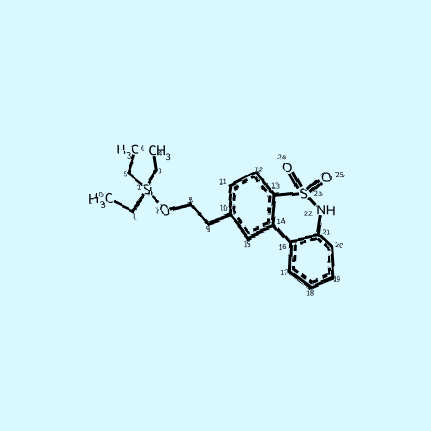 CC[Si](CC)(CC)OCCc1ccc2c(c1)-c1ccccc1NS2(=O)=O